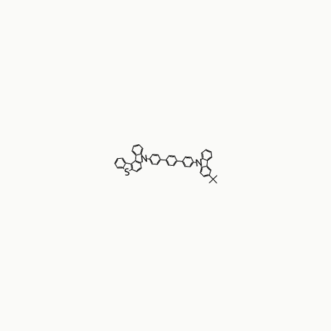 CC(C)(C)c1ccc2c(c1)c1ccccc1n2-c1ccc(-c2ccc(-c3ccc(-n4c5ccccc5c5c6c(ccc54)sc4ccccc46)cc3)cc2)cc1